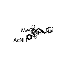 COC(=O)C(CC#CCN1CCOCC1)NS(=O)(=O)c1ccc(NC(C)=O)cc1